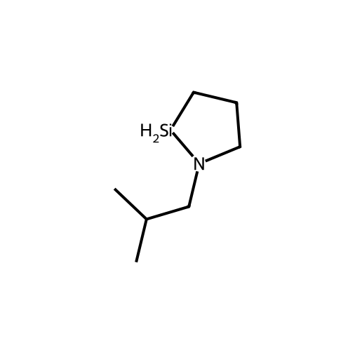 CC(C)CN1CCC[SiH2]1